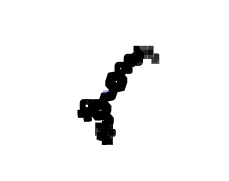 CC(C)(C#N)c1cc(/C=C/c2ccc(OSOON)cc2)cc(Cn2cncn2)c1